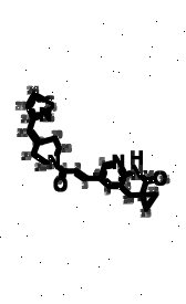 O=C(C=Cc1cnc2c(c1)CC1(CC1)C(=O)N2)N1CCC(=Cc2ccsn2)CC1